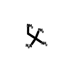 NCC(N)(N)P